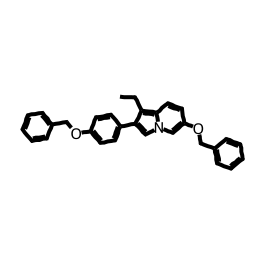 CCc1c(-c2ccc(OCc3ccccc3)cc2)cn2cc(OCc3ccccc3)ccc12